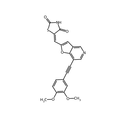 COc1ccc(C#Cc2cncc3cc(C=C4SC(=O)NC4=O)oc23)cc1OC